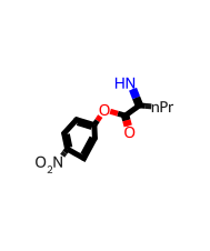 CCCC(=N)C(=O)Oc1ccc([N+](=O)[O-])cc1